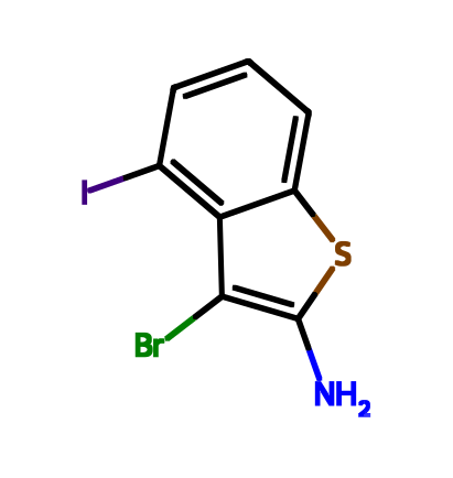 Nc1sc2cccc(I)c2c1Br